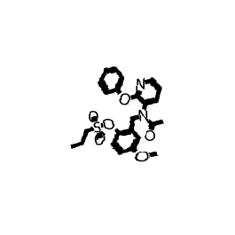 CCCS(=O)(=O)Oc1ccc(OC)cc1CN(C(C)=O)c1cccnc1Oc1ccccc1